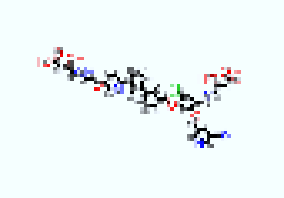 Cc1c(COc2cc(OCc3cncc(C#N)c3)c(CNC[C@@H](O)CC(=O)O)cc2Cl)cccc1-c1cccc(-c2ccc(OCCNC[C@@H](O)CC(=O)O)cn2)c1C